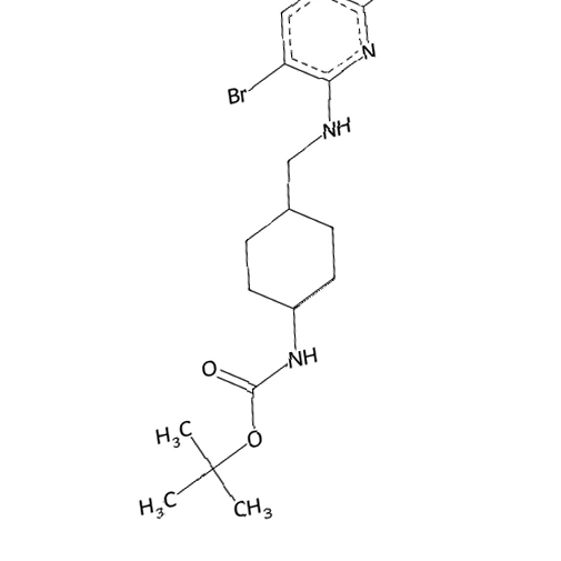 CC(C)(C)OC(=O)NC1CCC(CNc2nc(Cl)ncc2Br)CC1